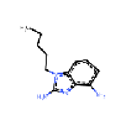 CCCCCn1c(N)nc2c(N)cccc21